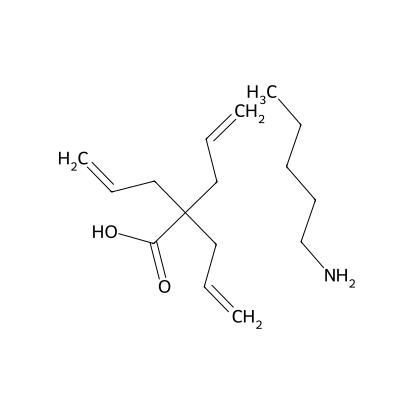 C=CCC(CC=C)(CC=C)C(=O)O.CCCCCN